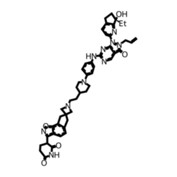 C=CCn1c(=O)c2cnc(Nc3ccc(N4CCC(CCN5CC6(Cc7ccc8c(C9CCC(=O)NC9=O)noc8c7C6)C5)CC4)cc3)nc2n1-c1ccc2c(n1)[C@](O)(CC)CC2